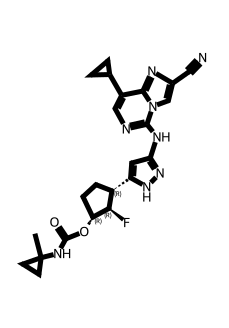 CC1(NC(=O)O[C@@H]2CC[C@H](c3cc(Nc4ncc(C5CC5)c5nc(C#N)cn45)n[nH]3)[C@H]2F)CC1